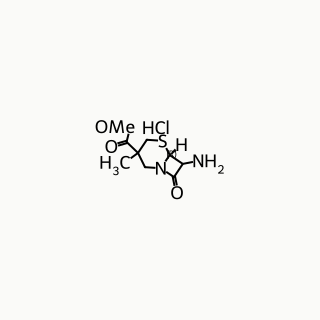 COC(=O)C1(C)CS[C@@H]2C(N)C(=O)N2C1.Cl